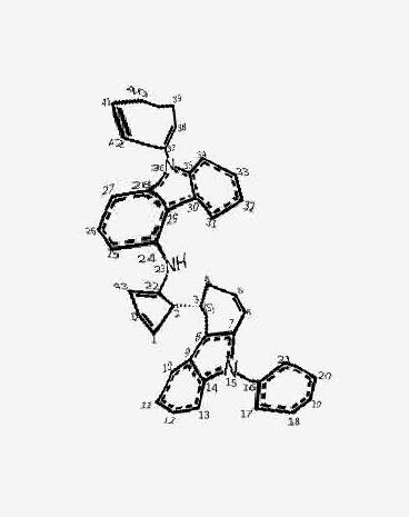 C1=CC([C@@H]2CC=Cc3c2c2ccccc2n3-c2ccccc2)C(Nc2cccc3c2c2ccccc2n3C2=CCCC=C2)=C1